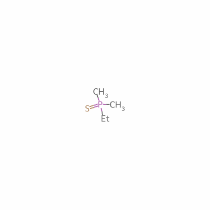 CCP(C)(C)=S